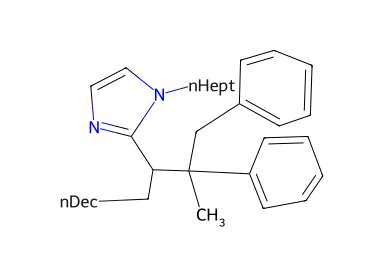 CCCCCCCCCCCC(c1nccn1CCCCCCC)C(C)(Cc1ccccc1)c1ccccc1